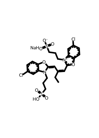 CCC(=Cc1oc2ccc(Cl)cc2[n+]1CCCS(=O)(=O)[O-])C=C1Oc2ccc(Cl)cc2N1CCCS(=O)(=O)O.[NaH]